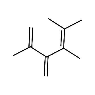 C=C(C)C(=C)C(C)=C(C)C